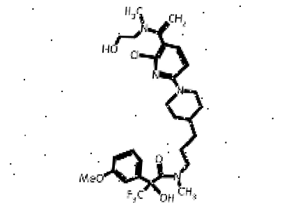 C=C(c1ccc(N2CCC(CCCN(C)C(=O)C(O)(c3cccc(OC)c3)C(F)(F)F)CC2)nc1Cl)N(C)CCO